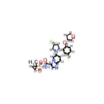 CC1(S(=O)(=O)NC(=O)c2cnc3ccc(N4C[C@@H](F)C[C@@H]4c4cc(F)ccc4O[C@@H]4CCOC4)cn23)CC1